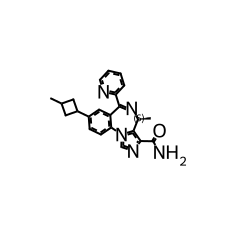 CC1CC(c2ccc3c(c2)C(c2ccccn2)=N[C@@H](C)c2c(C(N)=O)ncn2-3)C1